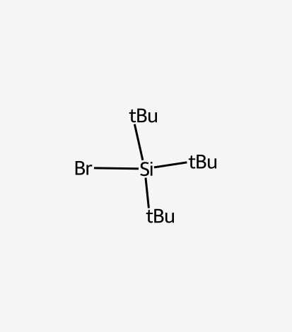 CC(C)(C)[Si](Br)(C(C)(C)C)C(C)(C)C